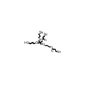 O=C(CCS)OCCCOCC(COCCCS)(COCCCS)COC(=O)CCS